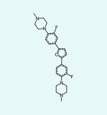 CN1CCN(c2ccc(-c3ccc(-c4ccc(N5CCN(C)CC5)c(F)c4)o3)cc2F)CC1